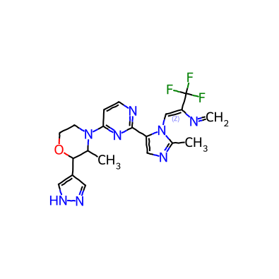 C=N/C(=C\n1c(-c2nccc(N3CCOC(c4cn[nH]c4)C3C)n2)cnc1C)C(F)(F)F